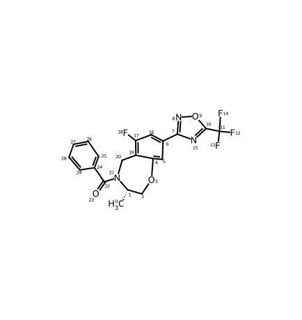 C[C@H]1COc2cc(-c3noc(C(F)(F)F)n3)cc(F)c2CN1C(=O)c1ccccc1